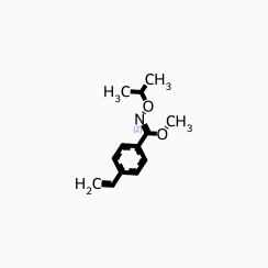 C=Cc1ccc(/C(=N/OC(C)C)OC)cc1